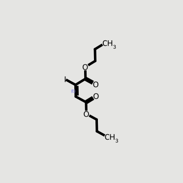 CCCOC(=O)/C=C(/I)C(=O)OCCC